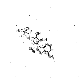 C=P(C)(C)CC[C@H]1O[C@@H](n2c(SCC)nc3c(N)ccnc32)[C@H](O)[C@@H]1O